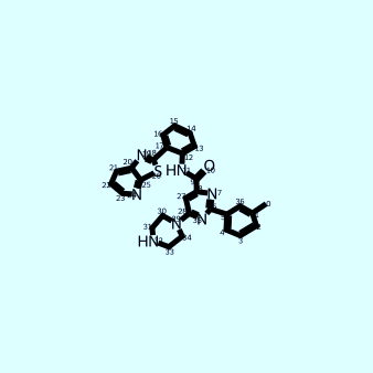 Cc1cccc(-c2nc(C(=O)Nc3ccccc3-c3nc4cccnc4s3)cc(N3CCNCC3)n2)c1